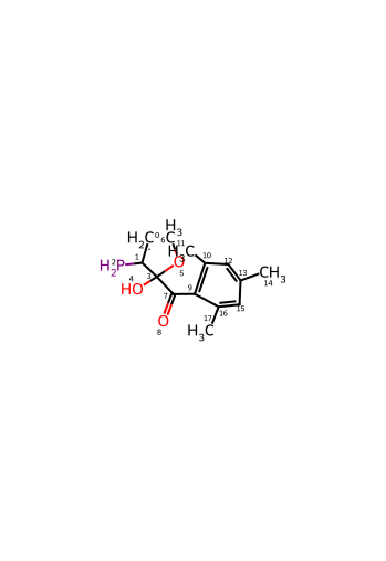 [CH2]C(P)C(O)(OC)C(=O)c1c(C)cc(C)cc1C